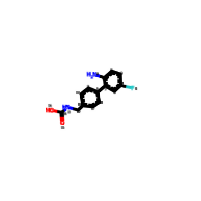 Nc1ccc(F)cc1-c1ccc(CNC(=O)O)cc1